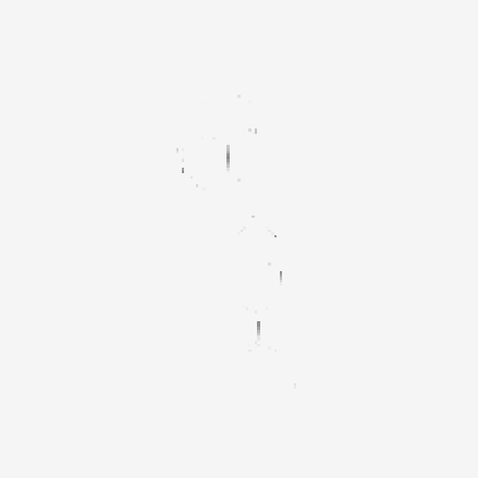 CC(C)(C)OC(=O)N1CCC2(CC1)CN(Cc1cccc3c1NCCC3)C2